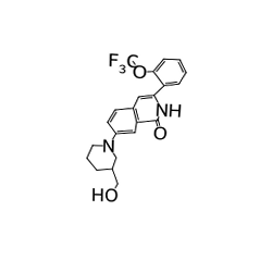 O=c1[nH]c(-c2ccccc2OC(F)(F)F)cc2ccc(N3CCCC(CO)C3)cc12